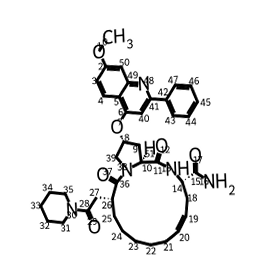 COc1ccc2c(O[C@@H]3C[C@H]4C(=O)N[C@H](C(N)=O)C/C=C\CCCCC[C@H](CC(=O)N5CCCCC5)C(=O)N4C3)cc(-c3ccccc3)nc2c1